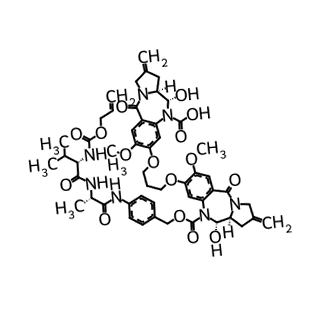 C=CCOC(=O)N[C@H](C(=O)N[C@@H](C)C(=O)Nc1ccc(COC(=O)N2c3cc(OCCCOc4cc5c(cc4OC)C(=O)N4CC(=C)C[C@H]4[C@H](O)N5C(=O)O)c(OC)cc3C(=O)N3CC(=C)C[C@H]3[C@@H]2O)cc1)C(C)C